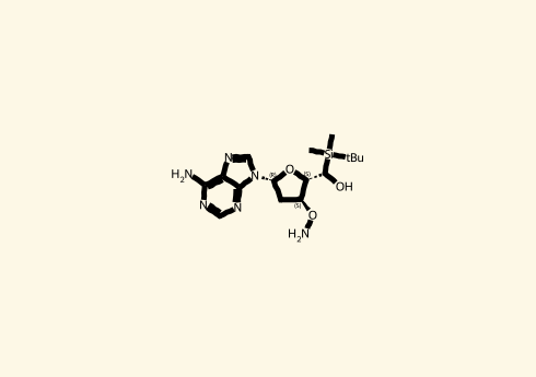 CC(C)(C)[Si](C)(C)C(O)[C@H]1O[C@@H](n2cnc3c(N)ncnc32)C[C@@H]1ON